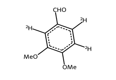 [2H]c1c([2H])c(OC)c(OC)c([2H])c1C=O